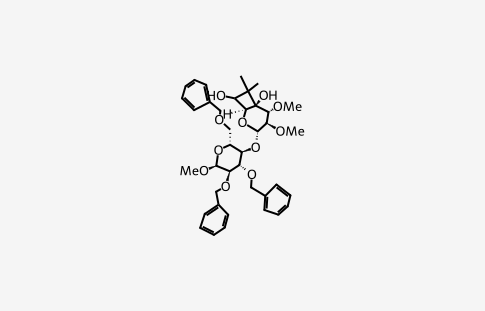 CO[C@H]1O[C@H](COCc2ccccc2)[C@@H](O[C@@H]2O[C@H]3C(O)C(C)(C)[C@]3(O)[C@H](OC)[C@H]2OC)[C@H](OCc2ccccc2)[C@H]1OCc1ccccc1